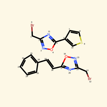 BrCc1noc(-c2ccsc2)n1.BrCc1noc(/C=C/c2ccccc2)n1